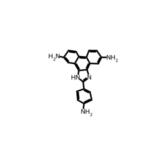 Nc1ccc(-c2nc3c4cc(N)ccc4c4ccc(N)cc4c3[nH]2)cc1